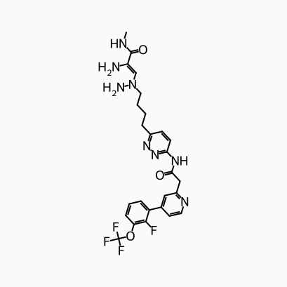 CNC(=O)/C(N)=C/N(N)CCCCc1ccc(NC(=O)Cc2cc(-c3cccc(OC(F)(F)F)c3F)ccn2)nn1